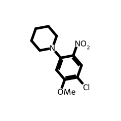 COc1cc(N2CCCCC2)c([N+](=O)[O-])cc1Cl